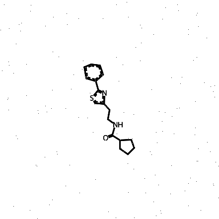 O=C(NCCc1csc(-c2ccccc2)n1)C1CCCC1